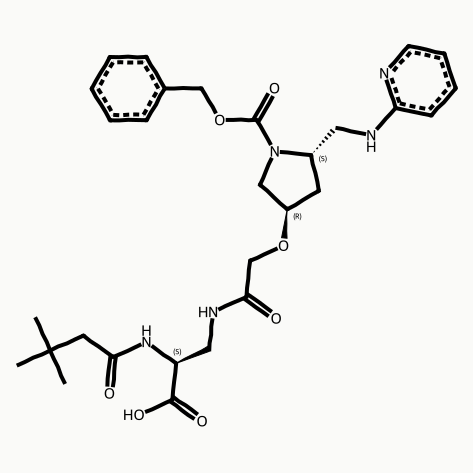 CC(C)(C)CC(=O)N[C@@H](CNC(=O)CO[C@@H]1C[C@@H](CNc2ccccn2)N(C(=O)OCc2ccccc2)C1)C(=O)O